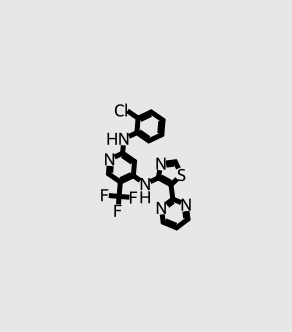 FC(F)(F)c1cnc(Nc2ccccc2Cl)cc1Nc1ncsc1-c1ncccn1